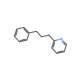 [CH](CCc1ccccc1)c1ccccn1